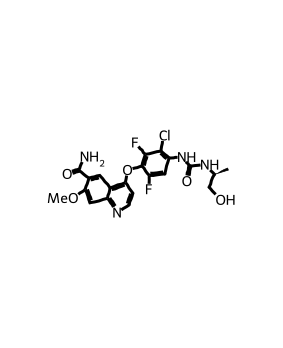 COc1cc2nccc(Oc3c(F)cc(NC(=O)N[C@@H](C)CO)c(Cl)c3F)c2cc1C(N)=O